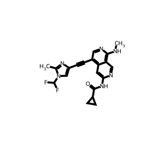 CNc1ncc(C#Cc2cn(C(F)F)c(C)n2)c2cc(NC(=O)C3CC3)ncc12